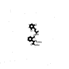 CNC(=O)C(=NOC)c1ccccc1CONC(C)C=Cc1c(Cl)cccc1Cl